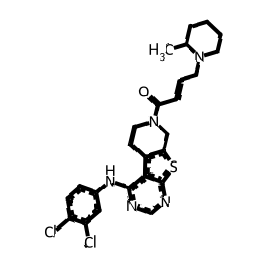 CC1CCCCN1CC=CC(=O)N1CCc2c(sc3ncnc(Nc4ccc(Cl)c(Cl)c4)c23)C1